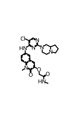 CNC(=O)COc1cc2cc(Nc3nc(N4CCN5CCCC5C4)ncc3Cl)ccc2n(C)c1=O